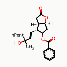 CCCCC[C@@](C)(O)/C=C/[C@@H]1[C@H]2CC(=O)O[C@H]2C[C@H]1OC(=O)c1ccccc1